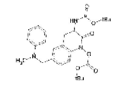 CN(Cc1ccc2c(c1)CC(NC(=O)OC(C)(C)C)C(=O)N2OC(=O)OC(C)(C)C)c1ccccc1